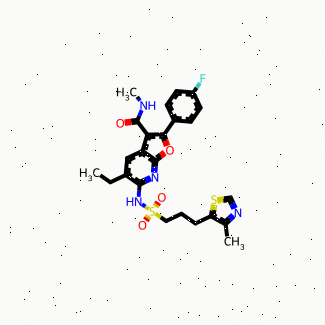 CCc1cc2c(C(=O)NC)c(-c3ccc(F)cc3)oc2nc1NS(=O)(=O)CCCc1scnc1C